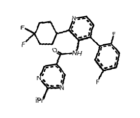 CC(C)c1ncc(C(=O)Nc2c(-c3cc(F)ccc3F)ccnc2C2CCC(F)(F)CC2)cn1